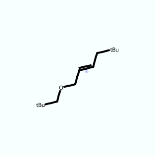 CC(C)(C)C/C=C/COCC(C)(C)C